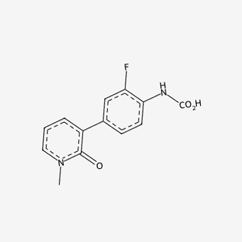 Cn1cccc(-c2ccc(NC(=O)O)c(F)c2)c1=O